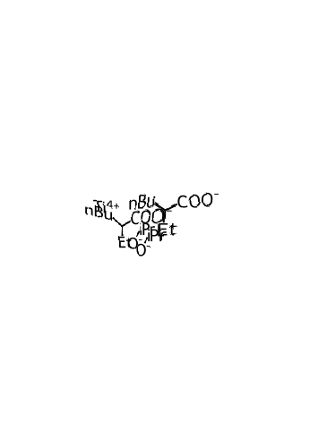 CC(C)[O-].CC(C)[O-].CCCCC(CC)C(=O)[O-].CCCCC(CC)C(=O)[O-].[Ti+4]